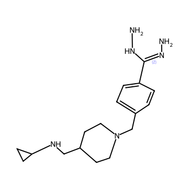 N/N=C(\NN)c1ccc(CN2CCC(CNC3CC3)CC2)cc1